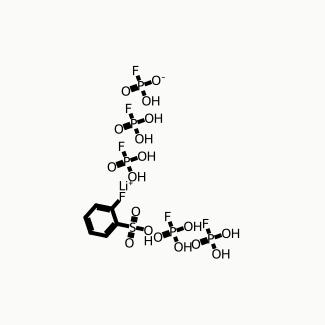 O=P(O)(O)F.O=P(O)(O)F.O=P(O)(O)F.O=P(O)(O)F.O=P([O-])(O)F.O=S(=O)(O)c1ccccc1F.[Li+]